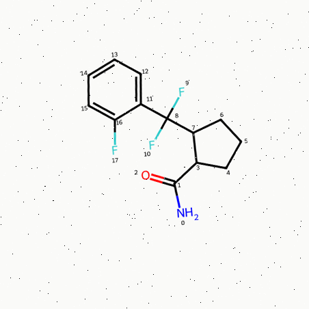 NC(=O)C1CCCC1C(F)(F)c1ccccc1F